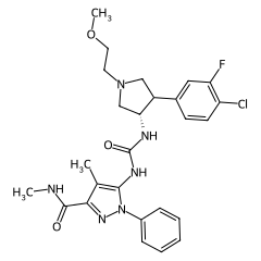 CNC(=O)c1nn(-c2ccccc2)c(NC(=O)N[C@@H]2CN(CCOC)CC2c2ccc(Cl)c(F)c2)c1C